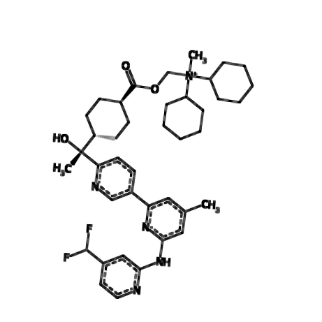 Cc1cc(Nc2cc(C(F)F)ccn2)nc(-c2ccc([C@](C)(O)[C@H]3CC[C@H](C(=O)OC[N+](C)(C4CCCCC4)C4CCCCC4)CC3)nc2)c1